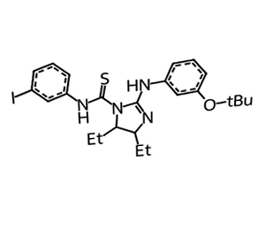 CCC1N=C(Nc2cccc(OC(C)(C)C)c2)N(C(=S)Nc2cccc(I)c2)C1CC